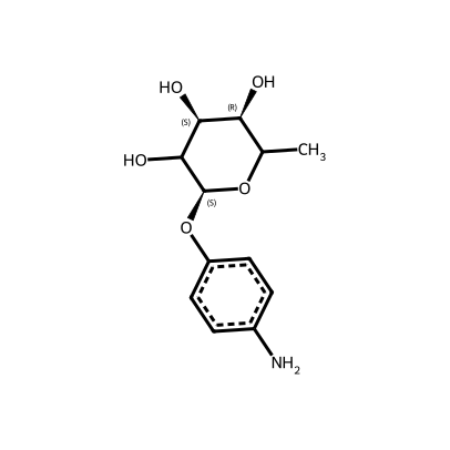 CC1O[C@@H](Oc2ccc(N)cc2)C(O)[C@@H](O)[C@H]1O